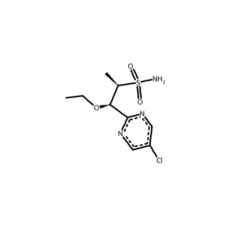 CCO[C@H](c1ncc(Cl)cn1)[C@@H](C)S(N)(=O)=O